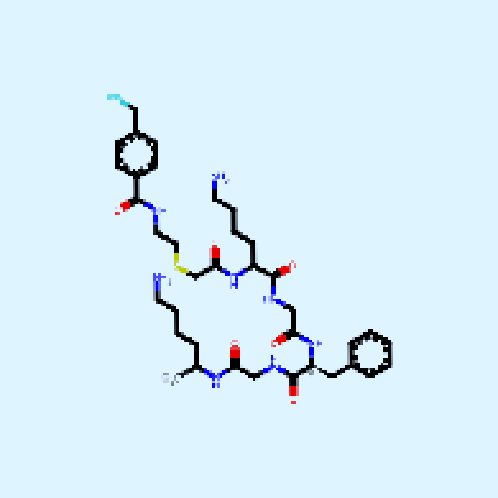 NCCCCC(NC(=O)CNC(=O)[C@H](Cc1ccccc1)NC(=O)CNC(=O)C(CCCCN)NC(=O)CSCCNC(=O)c1ccc(C[18F])cc1)C(=O)O